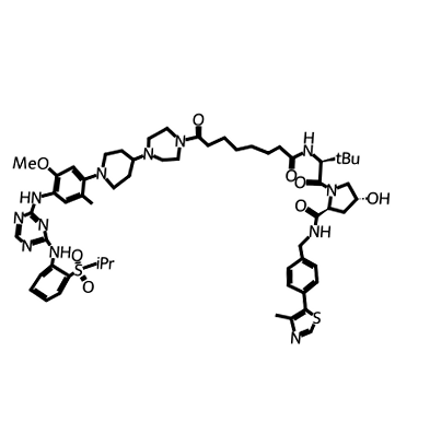 COc1cc(N2CCC(N3CCN(C(=O)CCCCCCC(=O)N[C@H](C(=O)N4C[C@H](O)C[C@H]4C(=O)NCc4ccc(-c5scnc5C)cc4)C(C)(C)C)CC3)CC2)c(C)cc1Nc1ncnc(Nc2ccccc2S(=O)(=O)C(C)C)n1